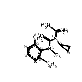 CCN(C(=O)N(C(=N)N)C1CC1)c1c(C)cccc1C